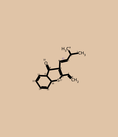 C=CC1=C(/C=C/C(C)C)C(=O)C2C=CC=CC2S1